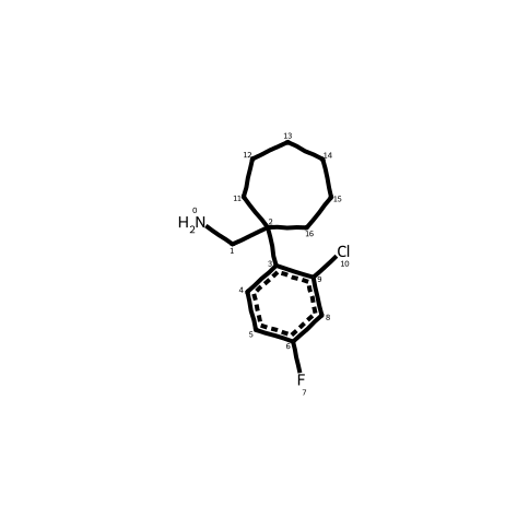 NCC1(c2ccc(F)cc2Cl)CCCCCC1